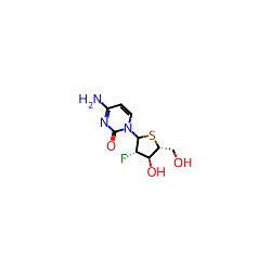 Nc1ccn(C2S[C@H](CO)[C@@H](O)[C@@H]2F)c(=O)n1